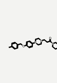 Cc1ccc(COc2ccc(N3CCN(CCC(=O)N4CCC(C)CC4)CC3)cc2)cc1